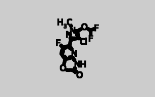 Cn1nc(-c2nc3c(cc2F)OCC(=O)N3)c(Cl)c1OC(F)F